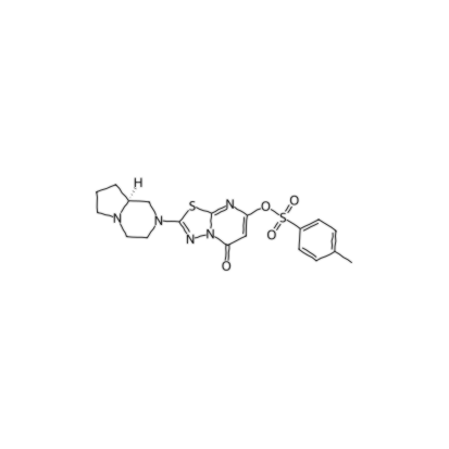 Cc1ccc(S(=O)(=O)Oc2cc(=O)n3nc(N4CCN5CCC[C@H]5C4)sc3n2)cc1